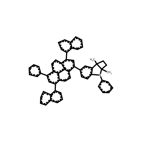 CC12CCC1(C)N(c1ccccc1)c1ccc(-c3cc(-c4cccc5ccccc45)c4ccc5c(-c6ccccc6)cc(-c6cccc7ccccc67)c6ccc3c4c56)cc12